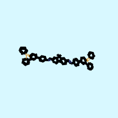 CC1(C)c2cc(/C=C/c3ccc(-c4ccc5c(c4)c4ccccc4p5-c4ccccc4)cc3)ccc2-c2ccc(/C=C/c3ccc(C4C=c5c(p(-c6ccccc6)c6ccccc56)=CC4)cc3)cc21